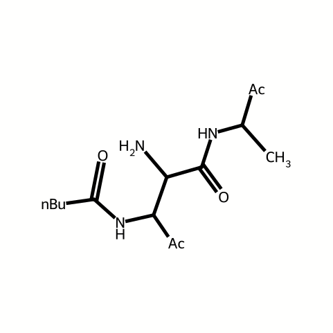 CCCCC(=O)NC(C(C)=O)C(N)C(=O)NC(C)C(C)=O